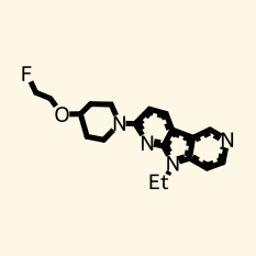 CCn1c2ccncc2c2ccc(N3CCC(OCCF)CC3)nc21